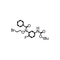 CC(C)(C)OC(=O)Nc1ccc(F)c(N(OCCBr)C(=O)c2ccccc2)c1